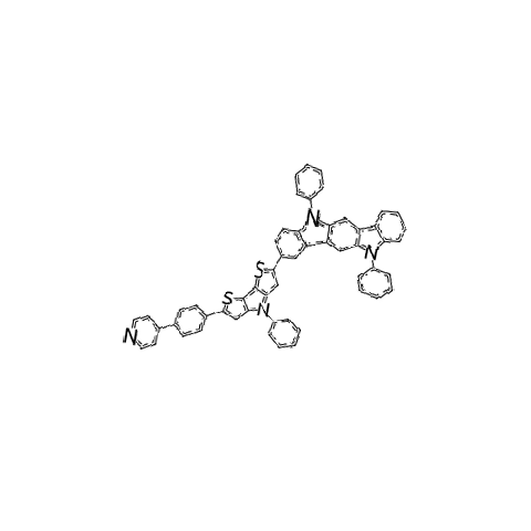 c1ccc(-n2c3ccccc3c3cc4c(cc32)c2cc(-c3cc5c(s3)c3sc(-c6ccc(-c7ccncc7)cc6)cc3n5-c3ccccc3)ccc2n4-c2ccccc2)cc1